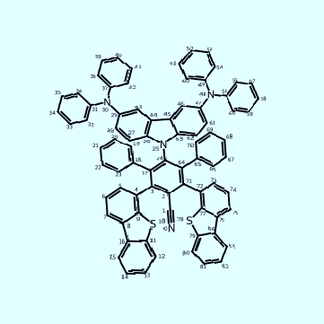 N#Cc1c(-c2cccc3c2sc2ccccc23)c(-c2ccccc2)c(-n2c3ccc(N(c4ccccc4)c4ccccc4)cc3c3cc(N(c4ccccc4)c4ccccc4)ccc32)c(-c2ccccc2)c1-c1cccc2c1sc1ccccc12